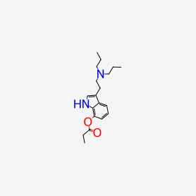 CCCN(CCC)CCc1c[nH]c2c(OC(=O)CC)cccc12